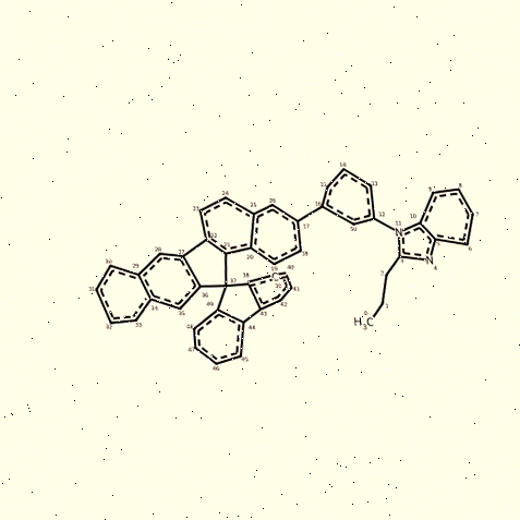 CCCc1nc2ccccc2n1-c1cccc(-c2ccc3c4c(ccc3c2)-c2cc3ccccc3cc2C42c3ccccc3-c3ccccc32)c1